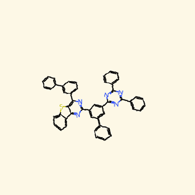 c1ccc(-c2cc(-c3nc(-c4ccccc4)nc(-c4ccccc4)n3)cc(-c3nc(-c4cccc(-c5ccccc5)c4)c4sc5ccccc5c4n3)c2)cc1